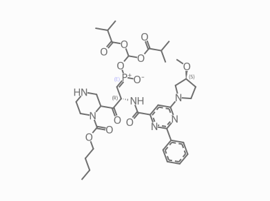 CCCCOC(=O)N1CCNCC1C(=O)[C@H](/C=[P+](\[O-])OC(OC(=O)C(C)C)OC(=O)C(C)C)NC(=O)c1cc(N2CC[C@H](OC)C2)nc(-c2ccccc2)n1